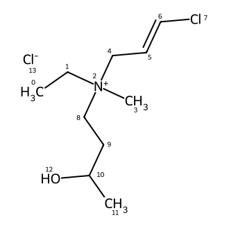 CC[N+](C)(CC=CCl)CCC(C)O.[Cl-]